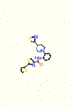 O=C(Nc1ccccc1N1CCC(c2cscn2)CC1)c1csc(-c2cccs2)n1